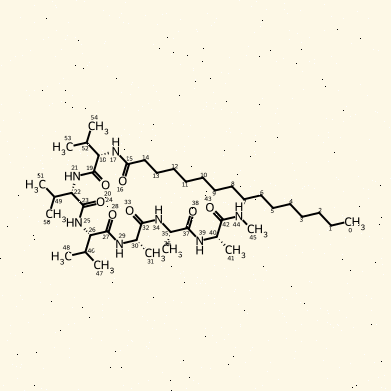 CCCCCCCCCCCCCCCC(=O)N[C@H](C(=O)N[C@H](C(=O)N[C@H](C(=O)N[C@@H](C)C(=O)N[C@@H](C)C(=O)N[C@@H](C)C(=O)NC)C(C)C)C(C)C)C(C)C